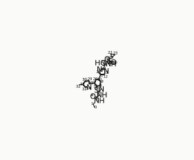 CCNC(=O)Nc1nc2cc(-c3cnc(C(O)NS(=O)(=O)C4CC4)nc3)cc(-c3ccc(C)cn3)c2s1